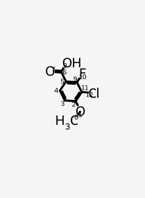 COc1ccc(C(=O)O)c(F)c1Cl